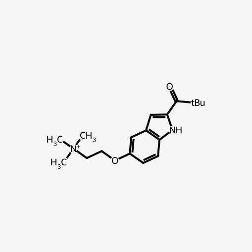 CC(C)(C)C(=O)c1cc2cc(OCC[N+](C)(C)C)ccc2[nH]1